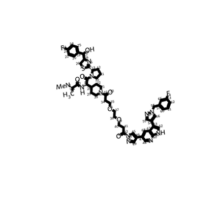 CN[C@@H](C)C(=O)N[C@H](C(=O)N1CCC[C@H]1C1=NC(C(O)c2ccc(F)cc2)CS1)C1CCN(C(=O)CCOCCOCCC(=O)n2cc(-c3cnc4[nH]cc(-c5cnn(Cc6cccc(F)c6)c5)c4c3)cn2)CC1